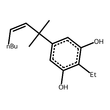 CCCC/C=C\C(C)(C)c1cc(O)c(CC)c(O)c1